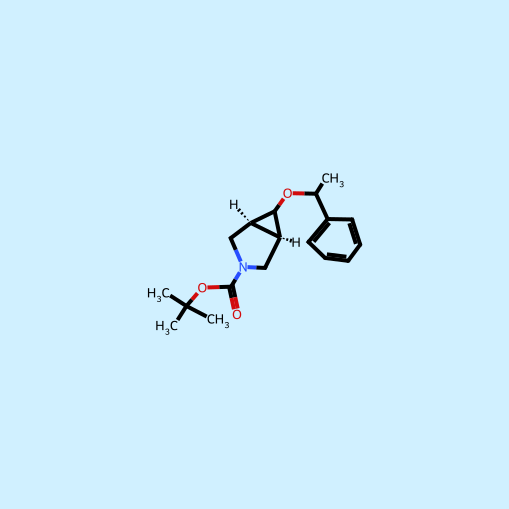 CC(OC1[C@H]2CN(C(=O)OC(C)(C)C)C[C@@H]12)c1ccccc1